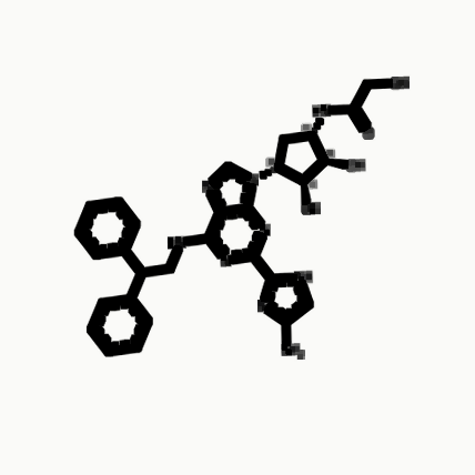 Nc1c[nH]c(-c2nc(NCC(c3ccccc3)c3ccccc3)c3ncn([C@@H]4C[C@H](NC(=O)CO)[C@@H](O)[C@H]4O)c3n2)n1